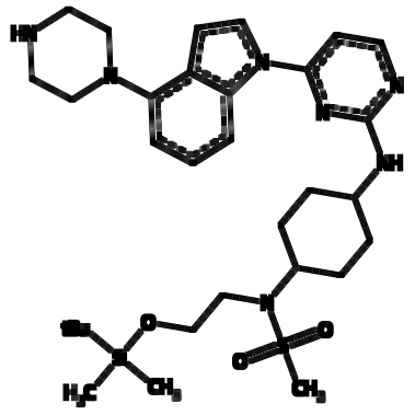 CC(C)(C)[Si](C)(C)OCCN(C1CCC(Nc2nccc(-n3ccc4c(N5CCNCC5)cccc43)n2)CC1)S(C)(=O)=O